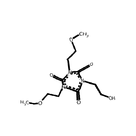 COCCn1c(=O)n(CCO)c(=O)n(CCOC)c1=O